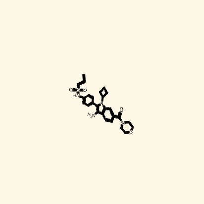 CCCS(=O)(=O)Nc1ccc(-c2c(N)c3ccc(C(=O)N4CCOCC4)cc3n2C2CCC2)cc1